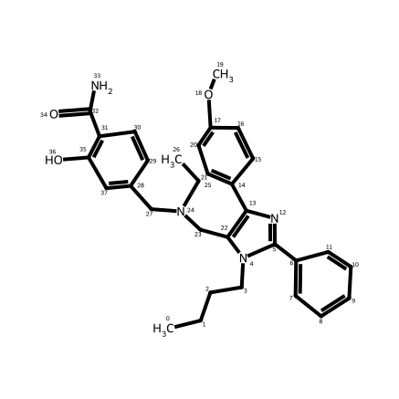 CCCCn1c(-c2ccccc2)nc(-c2ccc(OC)cc2)c1CN(CC)Cc1ccc(C(N)=O)c(O)c1